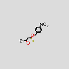 CCC(=O)CC(=S)OCc1ccc([N+](=O)[O-])cc1